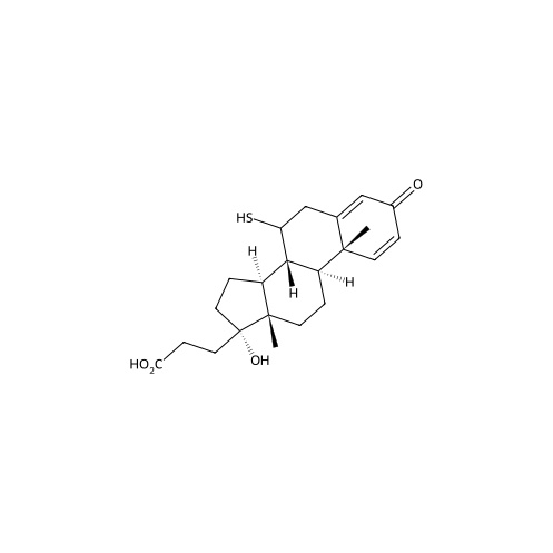 C[C@]12C=CC(=O)C=C1CC(S)[C@@H]1[C@@H]2CC[C@@]2(C)[C@H]1CC[C@]2(O)CCC(=O)O